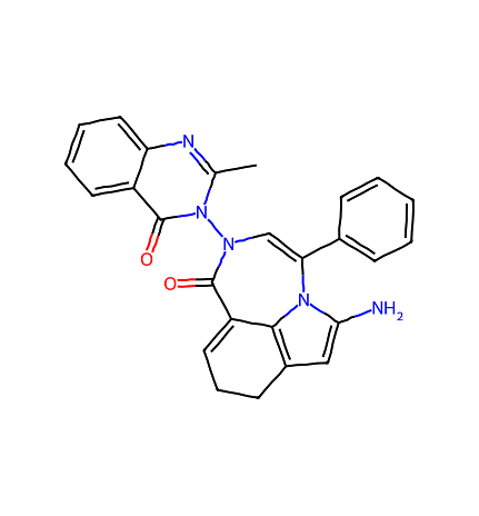 Cc1nc2ccccc2c(=O)n1N1C=C(c2ccccc2)n2c(N)cc3c2C(=CCC3)C1=O